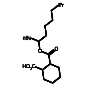 CCCCC(CCCCC(C)C)OC(=O)C1CCCCC1C(=O)O